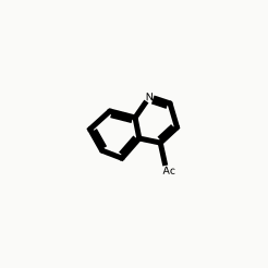 [CH2]C(=O)c1ccnc2ccccc12